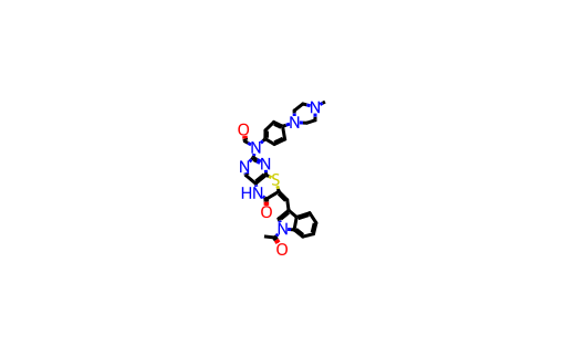 CC(=O)n1cc(/C=C2/Sc3nc(N(C=O)c4ccc(N5CCN(C)CC5)cc4)ncc3NC2=O)c2ccccc21